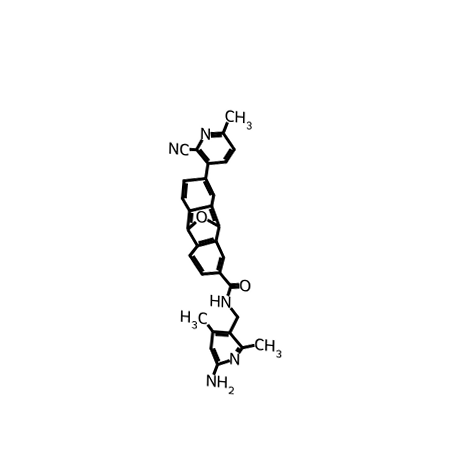 Cc1ccc(-c2ccc3c(c2)c2oc3c3ccc(C(=O)NCc4c(C)cc(N)nc4C)cc32)c(C#N)n1